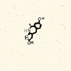 C[C@@H]1NC(=O)C(CC(=O)O)Cc2ccc(O)cc21